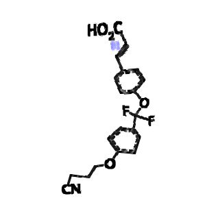 N#CCCCOc1ccc(C(F)(F)Oc2ccc(/C=C/C(=O)O)cc2)cc1